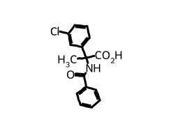 CC(NC(=O)c1ccccc1)(C(=O)O)c1cccc(Cl)c1